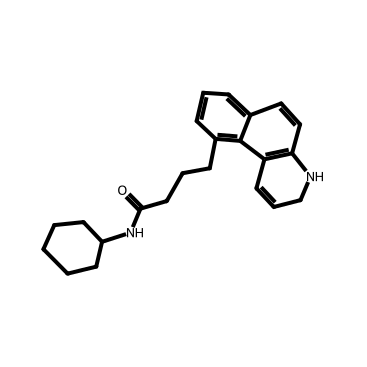 O=C(CCCc1cccc2ccc3c(c12)C=CCN3)NC1CCCCC1